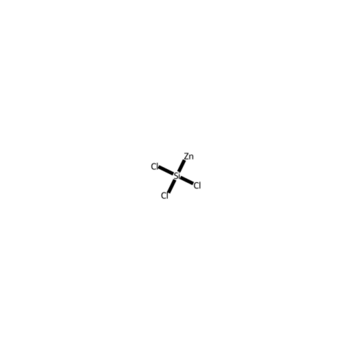 Cl[Si](Cl)(Cl)[Zn]